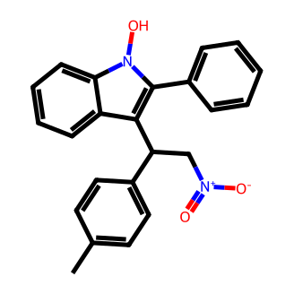 Cc1ccc(C(C[N+](=O)[O-])c2c(-c3ccccc3)n(O)c3ccccc23)cc1